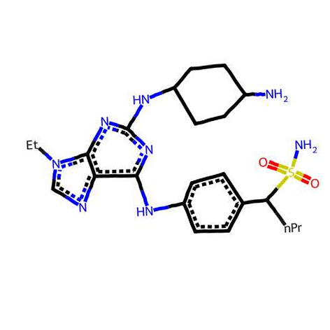 CCCC(c1ccc(Nc2nc(NC3CCC(N)CC3)nc3c2ncn3CC)cc1)S(N)(=O)=O